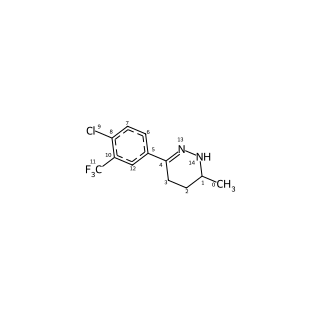 CC1CCC(c2ccc(Cl)c(C(F)(F)F)c2)=NN1